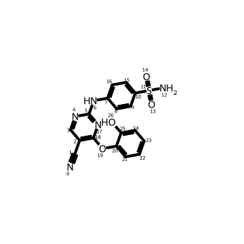 N#Cc1cnc(Nc2ccc(S(N)(=O)=O)cc2)nc1Oc1ccccc1O